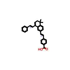 CC1(C)CC=C(/C=C/c2ccccc2)c2cc(/C=C/c3ccc(C(=O)O)cc3)ccc21